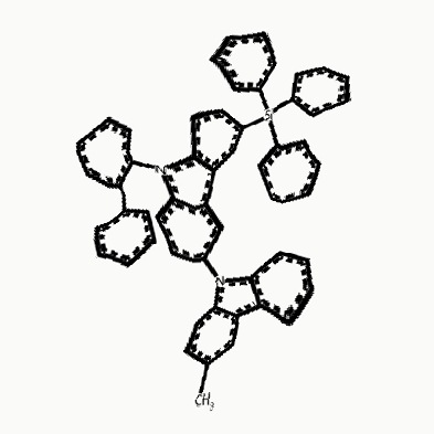 Cc1ccc2c(c1)c1ccccc1n2-c1ccc2c(c1)c1cc([Si](c3ccccc3)(c3ccccc3)c3ccccc3)ccc1n2-c1ccccc1-c1ccccc1